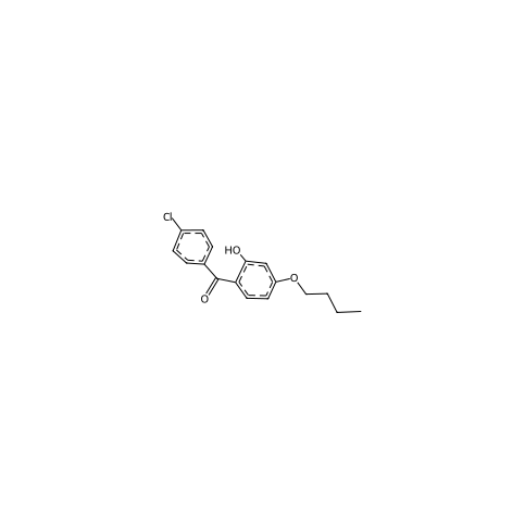 CCCCOc1ccc(C(=O)c2ccc(Cl)cc2)c(O)c1